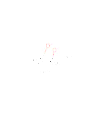 O=[N+]([O-])[O-].O=[N+]([O-])[O-].[Fe+2].[Fe+3]